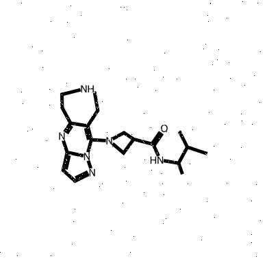 CC(C)C(C)NC(=O)C1CN(c2c3c(nc4ccnn24)CCNCC3)C1